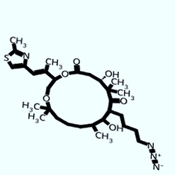 C/C(=C\c1csc(C)n1)C1COC(C)(C)CCCC(C)C(O)C(CCCCN=[N+]=[N-])C(=O)C(C)(C)[C@@H](O)CC(=O)O1